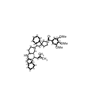 COc1cc(C(=O)N2CCC(CCN3CCC(Nc4nc5ccccc5n4CC=C(C)C)CC3)(c3ccccc3)C2)cc(OC)c1OC